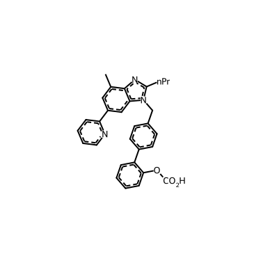 CCCc1nc2c(C)cc(-c3ccccn3)cc2n1Cc1ccc(-c2ccccc2OC(=O)O)cc1